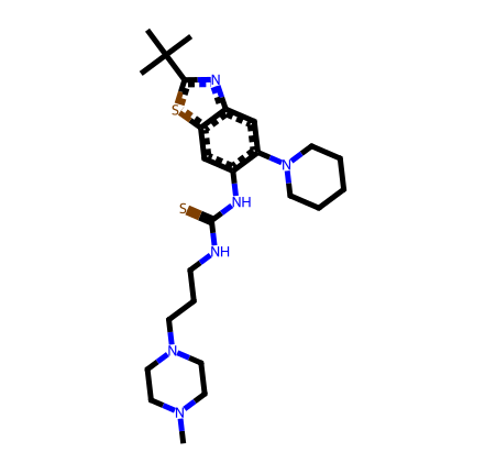 CN1CCN(CCCNC(=S)Nc2cc3sc(C(C)(C)C)nc3cc2N2CCCCC2)CC1